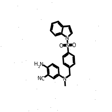 CN(Cc1ccc(S(=O)(=O)n2ccc3ccccc32)cc1)c1ccc(N)c(C#N)c1